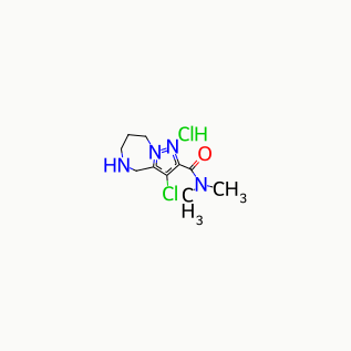 CN(C)C(=O)c1nn2c(c1Cl)CNCCC2.Cl